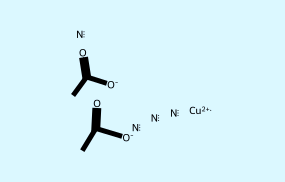 CC(=O)[O-].CC(=O)[O-].[Cu+2].[N].[N].[N].[N]